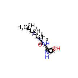 CC(C)=CCC/C(C)=C/CC/C(C)=C/CC(=O)NCCc1c[nH]c2ccc(O)cc12